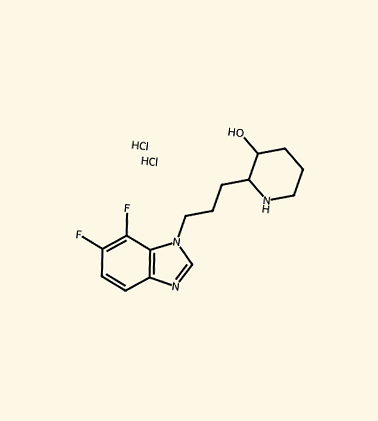 Cl.Cl.OC1CCCNC1CCCn1cnc2ccc(F)c(F)c21